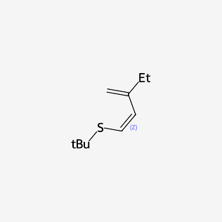 C=C(/C=C\SC(C)(C)C)CC